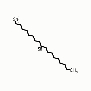 CCCCCCCCCCCCCCCCC[CH2][Sn].[Si]